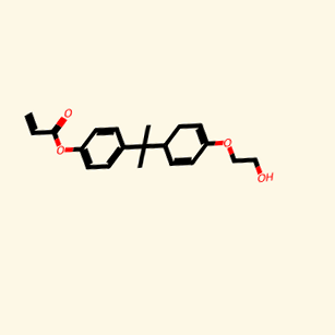 C=CC(=O)Oc1ccc(C(C)(C)C2C=CC(OCCO)=CC2)cc1